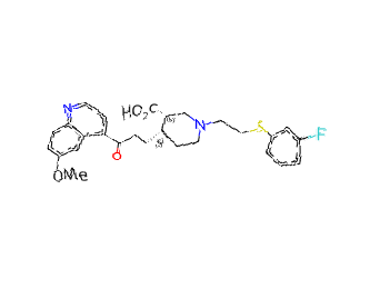 COc1ccc2nccc(C(=O)CC[C@H]3CCN(CCSc4cccc(F)c4)C[C@H]3C(=O)O)c2c1